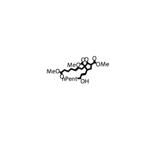 CCCCCC(O)C=CC1CC(C(=O)OC)C(=O)C1(CC=CCCCC(=O)OC)C(=O)OC